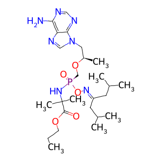 CCCOC(=O)C(C)(C)N[P@@](=O)(CO[C@H](C)Cn1cnc2c(N)ncnc21)ON=C(CC(C)C)CC(C)C